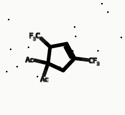 CC(=O)C1(C(C)=O)CC(C(F)(F)F)=CC1C(F)(F)F